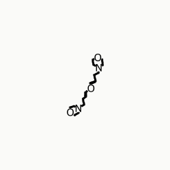 C(=COC=CCCN1CCOCC1)CCN1CCOCC1